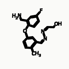 Cc1ccc(Oc2ccc(F)cc2CN)cc1/C=N\N=C/CO